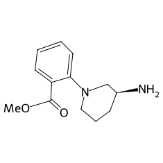 COC(=O)c1ccccc1N1CCC[C@H](N)C1